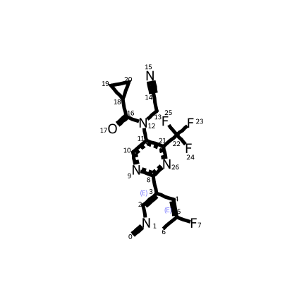 C=N/C=C(\C=C(/C)F)c1ncc(N(CC#N)C(=O)C2CC2)c(C(F)(F)F)n1